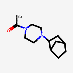 CC(C)(C)C(=O)N1CCN(C2CC3CCC2C3)CC1